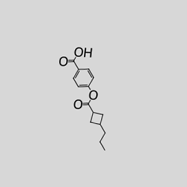 CCCC1CC(C(=O)Oc2ccc(C(=O)O)cc2)C1